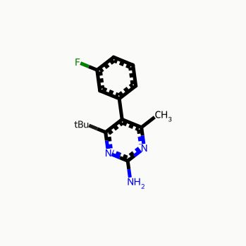 Cc1nc(N)nc(C(C)(C)C)c1-c1cccc(F)c1